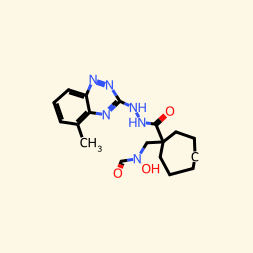 Cc1cccc2nnc(NNC(=O)C3(CN(O)C=O)CCCCCC3)nc12